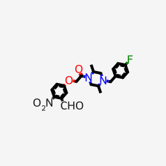 CC1CN(C(=O)COc2ccc([N+](=O)[O-])c(C=O)c2)C(C)CN1Cc1ccc(F)cc1